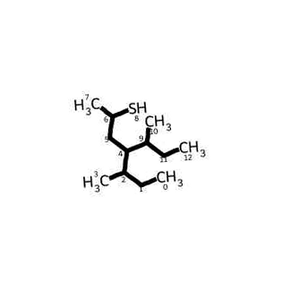 CCC(C)C(CC(C)S)C(C)CC